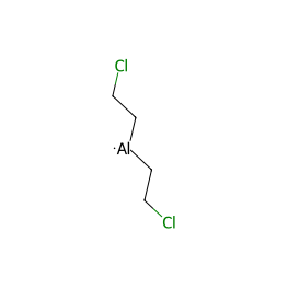 ClC[CH2][Al][CH2]CCl